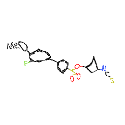 COc1ccc(-c2ccc(S(=O)(=O)OC3CC(N=C=S)C3)cc2)cc1F